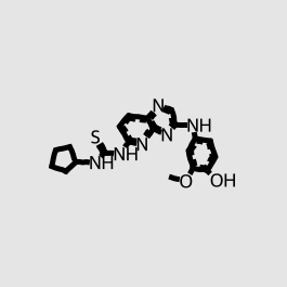 COc1cc(Nc2cnc3ccc(NC(=S)NC4CCCC4)nc3n2)ccc1O